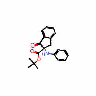 CC(C)(C)OC(=O)[C@]1(Nc2ccccc2)Cc2ccccc2C1=O